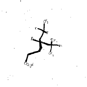 O=C(O)CCC(F)(C(F)(F)C(F)(F)F)C(F)(C(F)(F)F)C(F)(F)F